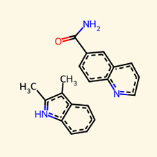 Cc1[nH]c2ccccc2c1C.NC(=O)c1ccc2ncccc2c1